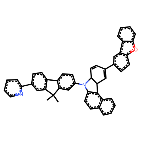 CC1(C)c2cc(-c3ccccn3)ccc2-c2ccc(N3c4ccc5ccccc5c4C4C=C(c5ccc6oc7ccccc7c6c5)C=CC43)cc21